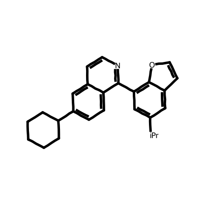 CC(C)c1cc(-c2nccc3cc(C4CCCCC4)ccc23)c2occc2c1